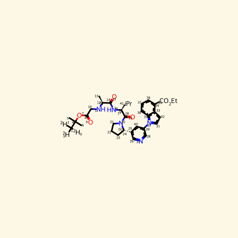 [2H]C([2H])([2H])C(C)(C)OC(=O)CN[C@@H](C)C(=O)N[C@H](C(=O)N1CCC[C@H]1c1cncc(-n2ccc3c(C(=O)OCC)cccc32)c1)C(C)C